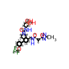 Cc1noc([C@H]2C[C@@H]2C(=O)NCc2ccc(-c3cccc(OC(F)(F)F)c3)c3c2CN(C(=O)NC2CCS(O)(O)C2)CC3)n1